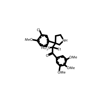 CCC(C(=O)c1cc(OC)c(OC)c(OC)c1)(C1(c2ccc(OC)c(Cl)c2)CCNC1)S(=O)(=O)O